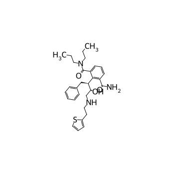 CCCN(CCC)C(=O)c1cccc(C(N)=O)c1[C@H](Cc1ccccc1)[C@@H](O)CNCCc1cccs1